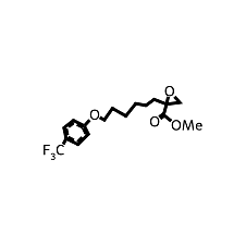 COC(=O)C1(CCCCCCOc2ccc(C(F)(F)F)cc2)CO1